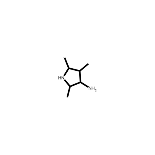 [CH2]C1NC(C)C(N)C1C